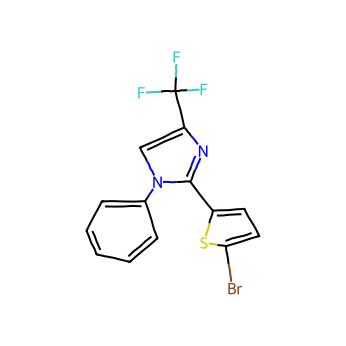 FC(F)(F)c1cn(-c2ccccc2)c(-c2ccc(Br)s2)n1